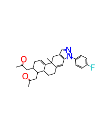 CC(=O)CC1CC=C2C(CCC3=Cc4c(cnn4-c4ccc(F)cc4)CC32C)C1CC(C)=O